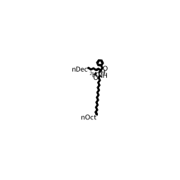 [2H]C[C@@H](NC(=O)CCCCCCCCCCCCCC=CCCCCCCCC)[C@]([2H])(/C=C/CCCCCCCCCCCCC)C(=O)c1ccccc1